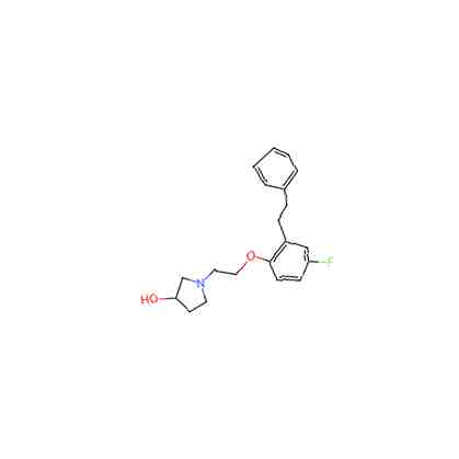 OC1CCN(CCOc2ccc(F)cc2CCc2ccccc2)C1